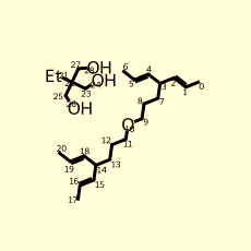 CC=CC(C=CC)CCCOCCCC(C=CC)C=CC.CCC(CO)(CO)CO